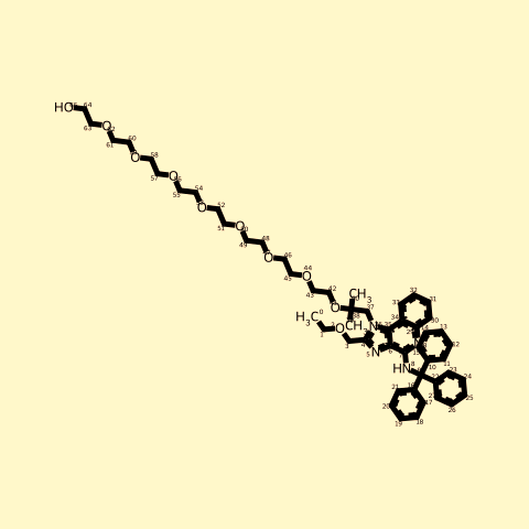 CCOCc1nc2c(NC(c3ccccc3)(c3ccccc3)c3ccccc3)nc3ccccc3c2n1CC(C)(C)OCCOCCOCCOCCOCCOCCOCCOCCO